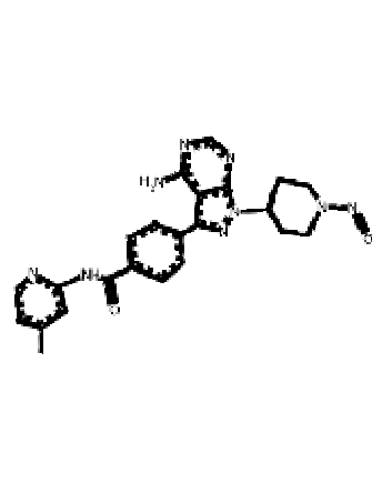 Cc1ccnc(NC(=O)c2ccc(-c3nn(C4CCN(N=O)CC4)c4ncnc(N)c34)cc2)c1